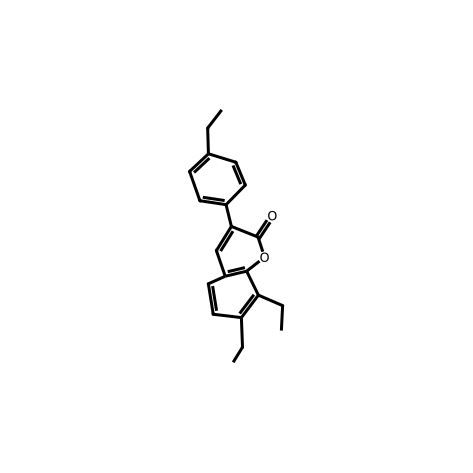 CCc1ccc(-c2cc3ccc(CC)c(CC)c3oc2=O)cc1